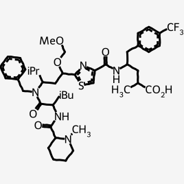 CCC(C)C(NC(=O)C1CCCCN1C)C(=O)N(Cc1ccccc1)C(CC(OCOC)c1nc(C(=O)NC(Cc2ccc(C(F)(F)F)cc2)CC(C)C(=O)O)cs1)C(C)C